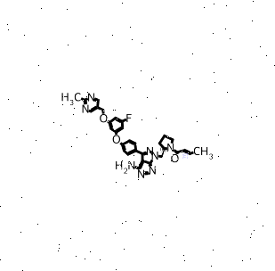 C/C=C/C(=O)N1CCC[C@@H]1Cn1nc(-c2ccc(Oc3cc(F)cc(OCc4cnc(C)nc4)c3)cc2)c2c(N)ncnc21